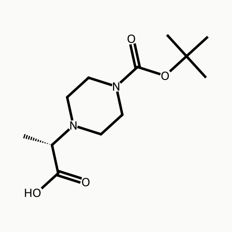 C[C@@H](C(=O)O)N1CCN(C(=O)OC(C)(C)C)CC1